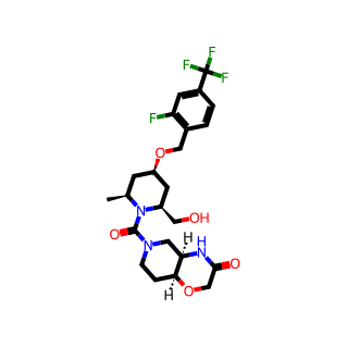 C[C@H]1C[C@@H](OCc2ccc(C(F)(F)F)cc2F)C[C@@H](CO)N1C(=O)N1CC[C@@H]2OCC(=O)N[C@@H]2C1